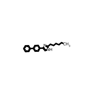 CCCCCCc1nc(-c2ccc(-c3ccccc3)cc2)c[nH]1